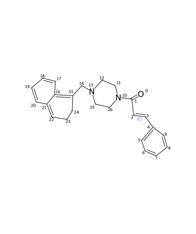 O=C(/C=C/c1ccccc1)N1CCN(CC2=c3ccccc3=CCC2)CC1